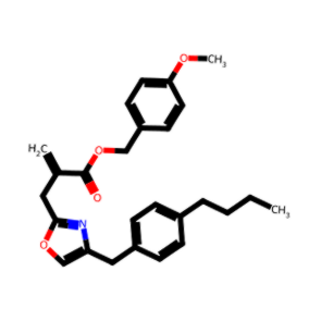 C=C(Cc1nc(Cc2ccc(CCCC)cc2)co1)C(=O)OCc1ccc(OC)cc1